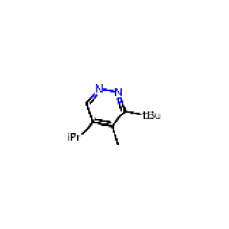 Cc1c(C(C)C)cnnc1C(C)(C)C